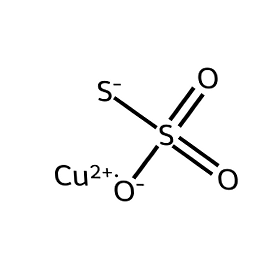 O=S(=O)([O-])[S-].[Cu+2]